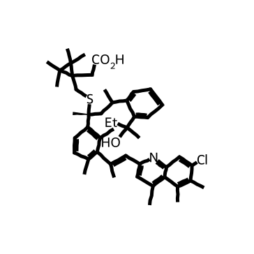 CCC(C)(O)c1ccccc1C(C)C[C@@](C)(SCC1(CC(=O)O)C(C)(C)C1(C)C)c1ccc(C)c(/C(C)=C/c2cc(C)c3c(C)c(C)c(Cl)cc3n2)c1C